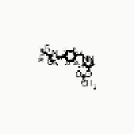 CC(=O)Oc1cnn(Cc2ccc(-c3noc(C(F)(F)F)n3)cc2)c1